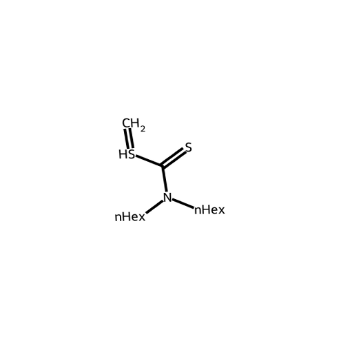 C=[SH]C(=S)N(CCCCCC)CCCCCC